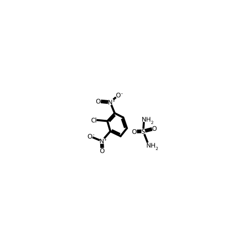 NS(N)(=O)=O.O=[N+]([O-])c1cccc([N+](=O)[O-])c1Cl